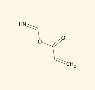 C=CC(=O)OC=N